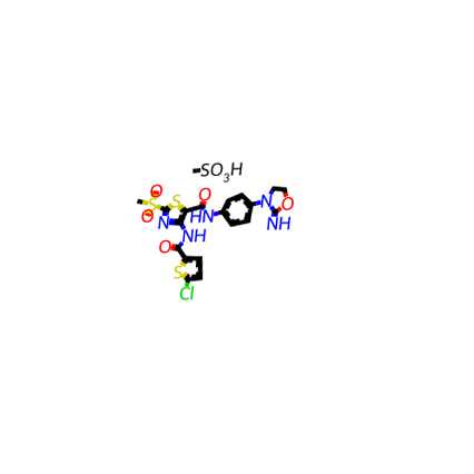 CS(=O)(=O)O.CS(=O)(=O)c1nc(NC(=O)c2ccc(Cl)s2)c(C(=O)Nc2ccc(N3CCOC3=N)cc2)s1